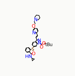 CC(C)(C)OC(=O)n1nc(/C=C/c2ccc(OCCN3CCCCC3)cn2)c2ccc(Sc3ccccc3C(=O)NC3CC3)cc21